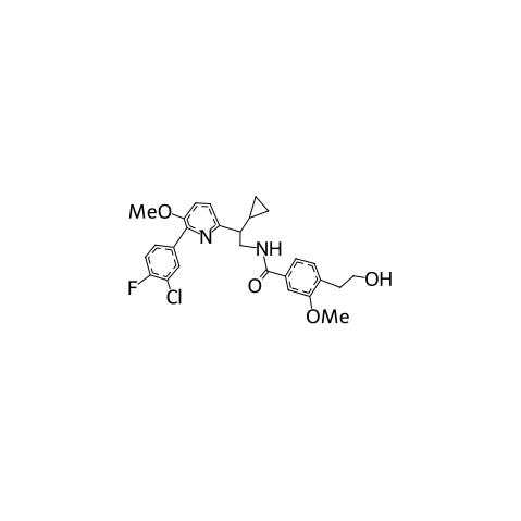 COc1cc(C(=O)NCC(c2ccc(OC)c(-c3ccc(F)c(Cl)c3)n2)C2CC2)ccc1CCO